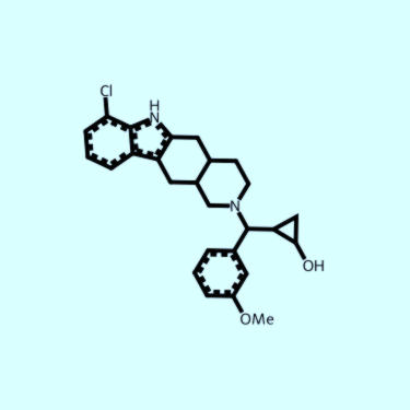 COc1cccc(C(C2CC2O)N2CCC3Cc4[nH]c5c(Cl)cccc5c4CC3C2)c1